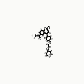 NC(=O)c1ccc2oc(=O)cc(C3=CCC(OCCOC4CCOCC4)CC3)c2c1